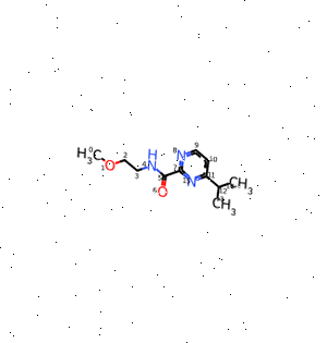 COCCNC(=O)c1nccc(C(C)C)n1